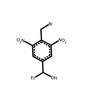 CCC(O)c1cc([N+](=O)[O-])c(CBr)c([N+](=O)[O-])c1